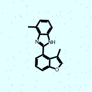 Cc1cccc2[nH]c(-c3cccc4o[c]c(C)c34)nc12